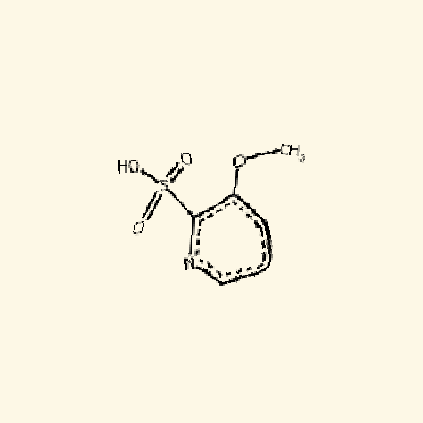 COc1cccnc1S(=O)(=O)O